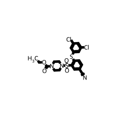 CCOC(=O)N1CCN(S(=O)(=O)c2cc(C#N)ccc2Sc2cc(Cl)cc(Cl)c2)CC1